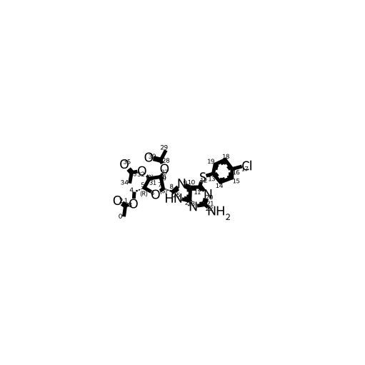 CC(=O)OC[C@H]1O[C@@H](c2nc3c(Sc4ccc(Cl)cc4)nc(N)nc3[nH]2)[C@H](OC(C)=O)[C@@H]1OC(C)=O